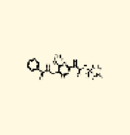 COc1nc(NC(=O)OC(C)(C)C)cnc1CNC(=O)c1ccccc1